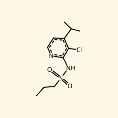 CCCS(=O)(=O)Nc1nccc(C(C)C)c1Cl